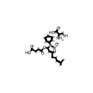 CC(C)=CCC/C(C)=C/C(OC(=O)CCC(=O)O)N(c1ccccc1)[N+](=O)[O-].NC(CS)C(=O)O